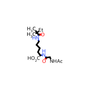 CCC(C)(C)C(=O)NCCCCC(NC(=O)CNC(C)=O)C(=O)O